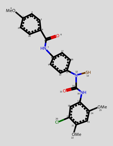 COc1ccc(C(=O)Nc2ccc(N(S)C(=O)Nc3cc(Cl)c(OC)cc3OC)cc2)cc1